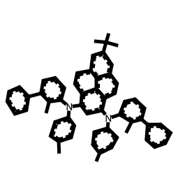 Cc1ccc(N(c2cccc(-c3ccccc3)c2C)c2cc(N(c3ccc(C)cc3)c3cccc(-c4ccccc4)c3C)c3ccc4cc(C(C)(C)C)cc5ccc2c3c54)cc1